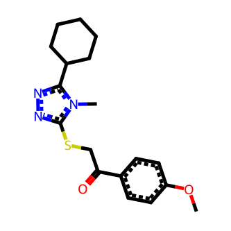 COc1ccc(C(=O)CSc2nnc(C3CCCCC3)n2C)cc1